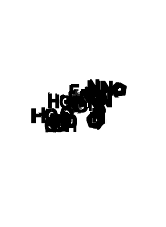 O=P(O)(O)CP(=O)(O)OC[C@H]1O[C@@H](n2cnc3c(NC4CCCC4)nc(CN4CCCCC4)nc32)[C@@H](F)[C@@H]1O